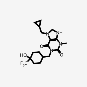 Cn1c2c(c(=O)n(CC3CCC(O)(C(F)(F)F)CC3)c1=O)N(CC1CC1)CN2